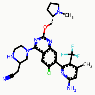 Cc1cc(N)nc(-c2cc3nc(OC[C@@H]4CCCN4C)nc(N4CCNC(CC#N)C4)c3cc2Cl)c1C(F)(F)F